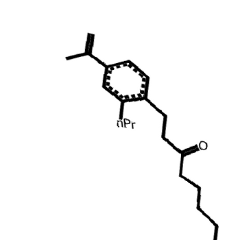 C=C(C)c1ccc(CCC(=O)CCCCC(C)C)c(CCC)c1